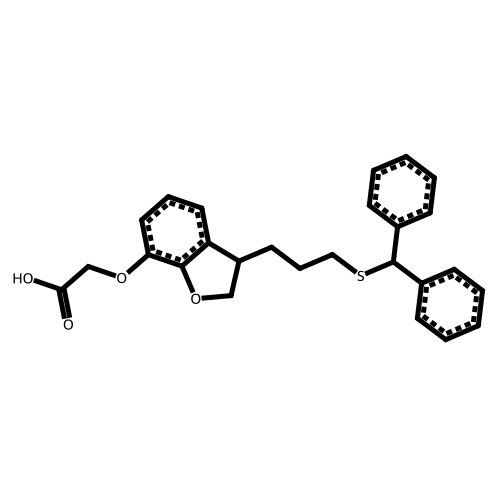 O=C(O)COc1cccc2c1OCC2CCCSC(c1ccccc1)c1ccccc1